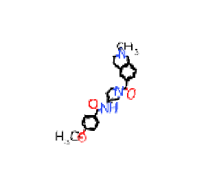 COc1ccc(C(=O)N[C@@H]2CCN(C(=O)c3ccc4c(c3)CCN(C)C4)C2)cc1